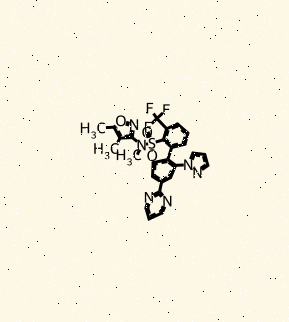 Cc1onc(N(C)S(=O)(=O)c2c(-c3ccc(-c4ncccn4)cc3-n3cccn3)cccc2C(F)(F)F)c1C